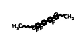 C=CCCC1CCC(c2ccc(-c3ccc(-c4ccc(OCCCCCCC)c(F)c4F)cc3)cc2F)CO1